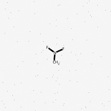 [CH2]N(F)F